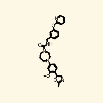 COc1cc(N2CCCN(C(=O)NCc3cccc(Oc4ccccn4)c3)CC2)ccc1-c1cnc(C)o1